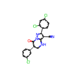 N#Cc1c(-c2ccc(Cl)cc2Cl)nn2c(=O)c(-c3cccc(Cl)c3)c[nH]c12